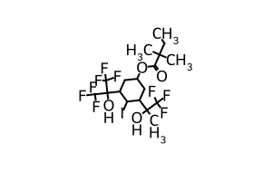 CCC(C)(C)C(=O)OC1CC(C(C)(O)C(F)(F)F)C(I)C(C(O)(C(F)(F)F)C(F)(F)F)C1